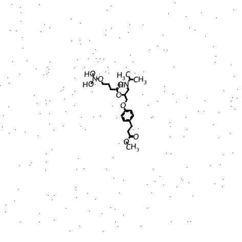 COC(=O)CCc1ccc(OCC(CNC(C)C)OC(=O)CCCON(O)O)cc1